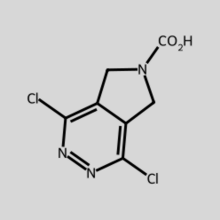 O=C(O)N1Cc2c(Cl)nnc(Cl)c2C1